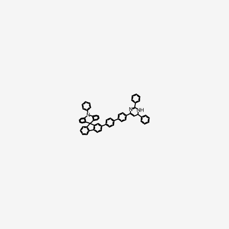 C1=C(c2ccc(-c3ccc(-c4ccc5c(c4)C4(c6ccccc6-5)c5ccccc5N(c5ccccc5)c5ccccc54)cc3)cc2)N=C(c2ccccc2)NC1c1ccccc1